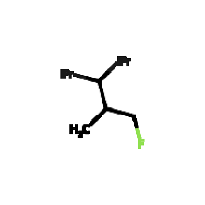 CC(C)C(C(C)C)C(C)CF